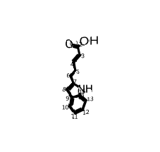 O=C(O)/C=C/CCc1cc2ccccc2[nH]1